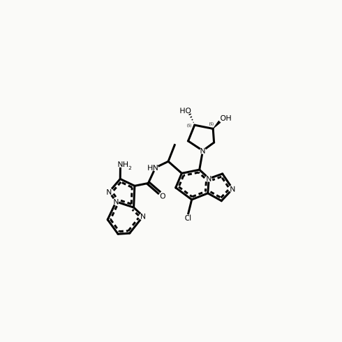 CC(NC(=O)c1c(N)nn2cccnc12)c1cc(Cl)c2cncn2c1N1C[C@H](O)[C@@H](O)C1